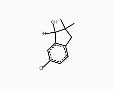 [2H]C1(O)c2cc(Cl)ccc2CC1(C)C